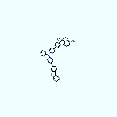 CC(C)(C)c1ccc2c(c1)C(C)(C)c1ccc(-c3ccc(N(c4ccccc4)c4ccc(-c5ccc6c(c5)sc5ccccc56)cc4)cc3)cc1-2